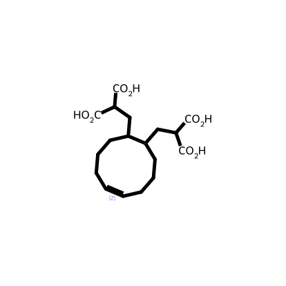 O=C(O)C(CC1CCC/C=C\CCCC1CC(C(=O)O)C(=O)O)C(=O)O